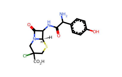 NC(C(=O)NC1C(=O)N2CC(Cl)(C(=O)O)CS[C@H]12)c1ccc(O)cc1